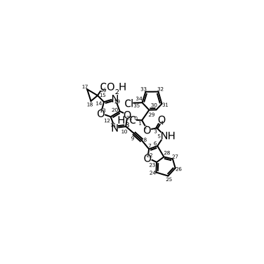 CC(OC(=O)Nc1c(C#Cc2nc3oc(C4(C(=O)O)CC4)nc3o2)oc2ccccc12)c1ccccc1Cl